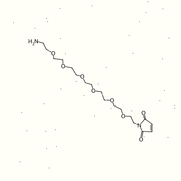 NCCOCCOCCOCCOCCOCCOCCN1C(=O)C=CC1=O